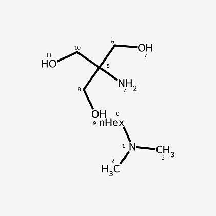 CCCCCCN(C)C.NC(CO)(CO)CO